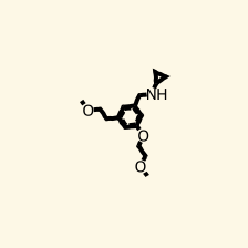 COCCOc1cc(CCOC)cc(CNC2CC2)c1